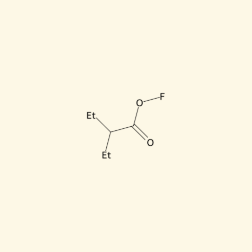 CCC(CC)C(=O)OF